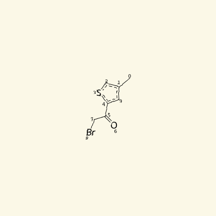 Cc1csc(C(=O)CBr)c1